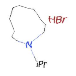 Br.CC(C)N1CCCC1